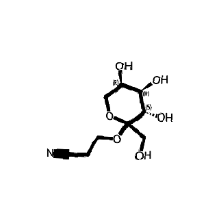 N#CCCOC1(CO)OC[C@@H](O)[C@@H](O)[C@@H]1O